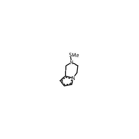 CSN1CCn2cccc2C1